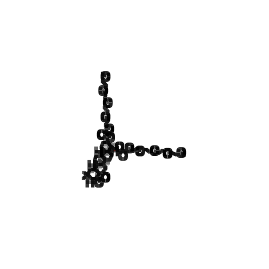 COCCOCCOCCOCCOC(=O)OC[C@@]1(C)[C@@H]2CC[C@]3(C)[C@H](CC=C4[C@@H]5CC(C)(C)CC[C@]5(C(=O)O)CC[C@]43C)[C@@]2(C)CC[C@@H]1OC(=O)OCCOCCOCCOCCOC